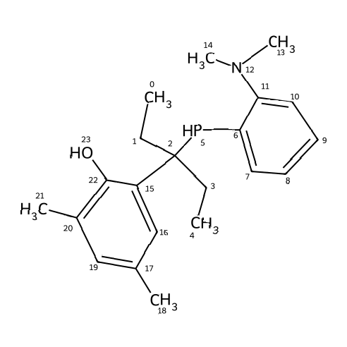 CCC(CC)(Pc1ccccc1N(C)C)c1cc(C)cc(C)c1O